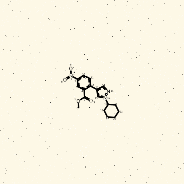 COC(=O)c1cc([N+](=O)[O-])ccc1-c1cnn(C2CCCCC2)c1